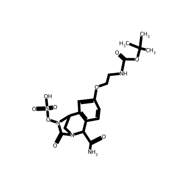 CC(C)(C)OC(=O)NCCOc1ccc2c(c1)C1CN(C(=O)N1OS(=O)(=O)O)C2C(N)=O